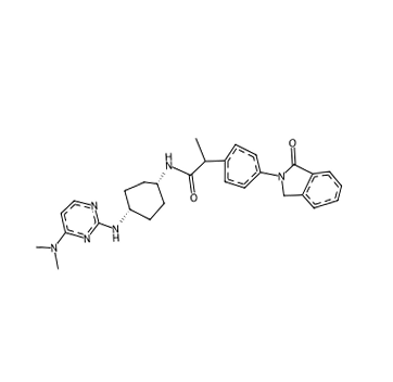 CC(C(=O)N[C@H]1CC[C@@H](Nc2nccc(N(C)C)n2)CC1)c1ccc(N2Cc3ccccc3C2=O)cc1